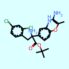 CC1=C(N)Nc2cc(C(N)(Cc3ccc(Cl)cc3Cl)C(=O)OC(C)(C)C)ccc2O1